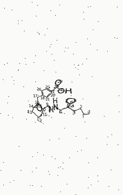 CCCCC(=O)CN/N=C/C1C2CCC(O2)C1Cc1ccc(C(=O)O)cc1